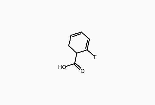 O=C(O)C1CC=CC=C1F